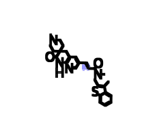 Cc1c(CN(C)C(=O)/C=C/c2cnc3c(c2)CC2(CCN(C)CC2)C(=O)N3)sc2ccccc12